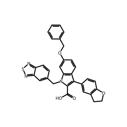 O=C(O)c1c(-c2ccc3c(c2)CCO3)c2ccc(OCc3ccccc3)cc2n1Cc1ccc2nsnc2c1